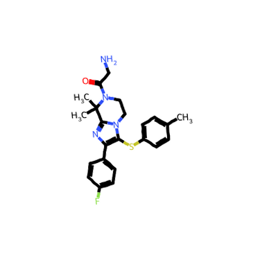 Cc1ccc(Sc2c(-c3ccc(F)cc3)nc3n2CCN(C(=O)CN)C3(C)C)cc1